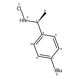 C[C@H](NCl)c1ccc(C(C)(C)C)cc1